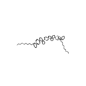 CCCCCCCCCCOc1ccc(OC(=O)c2ccc(OC(=O)OC3CCN(C(=O)CCCCCCCCC)CC3)cc2)cc1